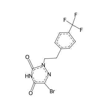 O=c1[nH]c(=O)n(CCc2ccc(C(F)(F)F)cc2)nc1Br